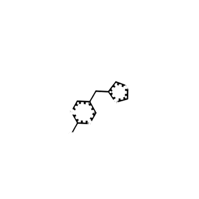 Clc1ncc(Cc2cocn2)cn1